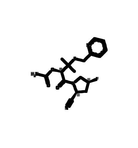 CC(C)(SCc1ccccn1)[C@H](OC(N)=O)C(=O)N1C[C@@H](F)C[C@H]1C#N